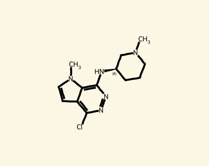 CN1CCC[C@@H](Nc2nnc(Cl)c3ccn(C)c23)C1